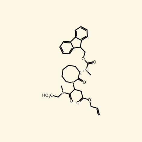 C=CCOC(=O)CC(C(=O)N(C)CC(=O)O)N1CCCCC[C@H](N(C)C(=O)OCC2c3ccccc3-c3ccccc32)C1=O